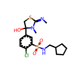 CN=C1SCC(O)(c2ccc(Cl)c(S(=O)(=O)NCC3CCCC3)c2)N1C